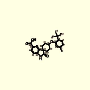 Cc1ccc(C(F)(F)F)c(OC2CCC3(CC2)C(=O)Nc2ccc(C(=O)O)nc23)n1